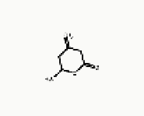 C=C1CC(=O)OC(C)C1